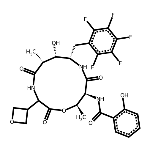 C[C@H]1OC(=O)C(C2COC2)NC(=O)[C@H](C)[C@H](O)[C@H](Cc2c(F)c(F)c(F)c(F)c2F)NC(=O)[C@H]1NC(=O)c1ccccc1O